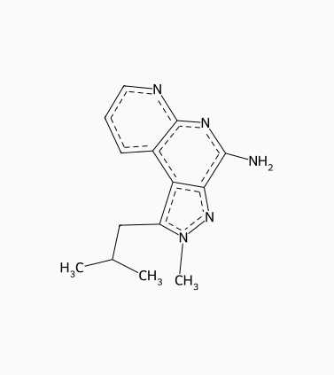 CC(C)Cc1c2c(nn1C)c(N)nc1ncccc12